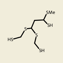 CSC(S)CC(SCS)SCS